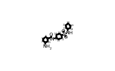 Nc1cccc(C(=O)Nc2ccc(S(=O)(=O)Nc3ccccc3)cc2)c1